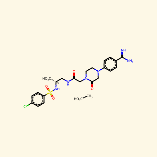 CC(=O)O.N=C(N)c1ccc(N2CCN(CC(=O)NC[C@H](NS(=O)(=O)c3ccc(Cl)cc3)C(=O)O)C(=O)C2)cc1